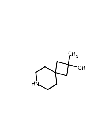 CC1(O)CC2(CCNCC2)C1